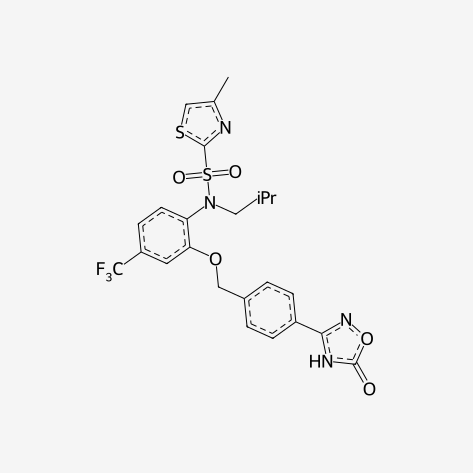 Cc1csc(S(=O)(=O)N(CC(C)C)c2ccc(C(F)(F)F)cc2OCc2ccc(-c3noc(=O)[nH]3)cc2)n1